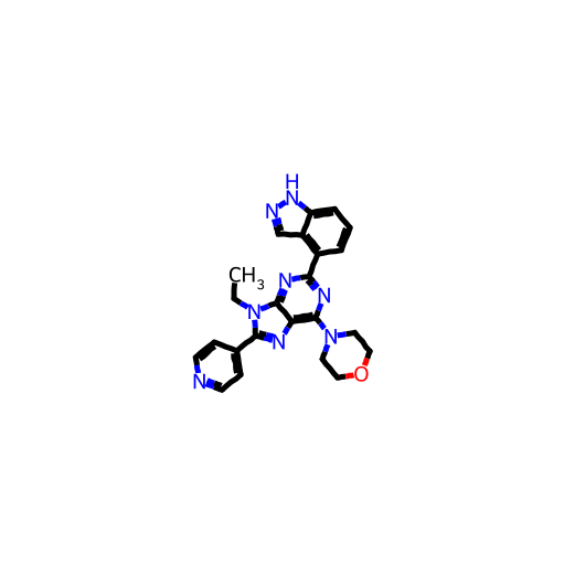 CCn1c(-c2ccncc2)nc2c(N3CCOCC3)nc(-c3cccc4[nH]ncc34)nc21